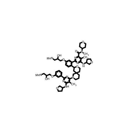 CNCC(O)COc1cccc(-c2nc(NC3CCOC3)c(C)c(N3CCCC4(CCOC(c5ccc(OCC(O)CNC)cc5-c5nc(NC6CCOC6)c(C)c(C(=O)N(C)C6CCOCC6)n5)C4)C3)n2)c1